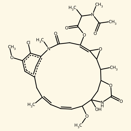 COc1cc2cc(c1Cl)N(C)C(=O)C/C(OC(=O)C(C)N(C)C(C)=O)=C1/OC1C(C)C1CC(O)(NC(=O)O1)C(OC)/C=C\C=C(\C)C2